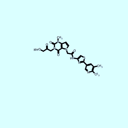 COCC(=O)Cn1c(=O)c2c(ccn2CC(=O)Nc2csc(-c3cnc(C(F)(F)F)c(C)c3)n2)n(C)c1=O